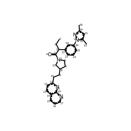 CCC(C(=O)N1CCC(CCc2ccc3cccnc3n2)C1)c1cccc(-n2nc(C)cc2C)c1